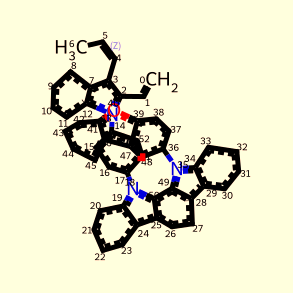 C=Cc1c(/C=C\C)c2ccccc2n1-c1ccc(-n2c3ccccc3c3ccc4c5ccccc5n(-c5ccc6oc7ccccc7c6c5)c4c32)cc1